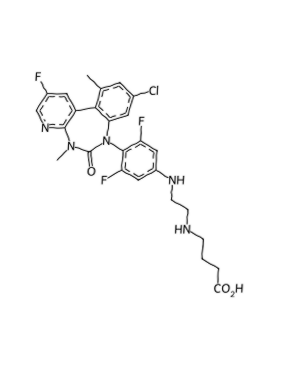 Cc1cc(Cl)cc2c1-c1cc(F)cnc1N(C)C(=O)N2c1c(F)cc(NCCNCCCC(=O)O)cc1F